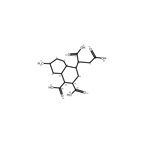 CC1CCC2C(C(CC(=O)O)C(=O)O)CC(C(=O)O)C(C(=O)O)C2C1